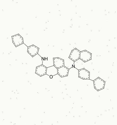 c1ccc(-c2ccc(Nc3cccc4c3-c3cccc5c(N(c6ccc(-c7ccccc7)cc6)c6cccc7ccccc67)ccc(c35)O4)cc2)cc1